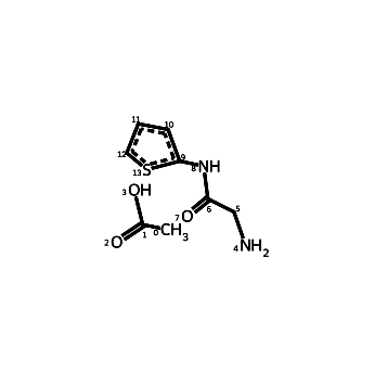 CC(=O)O.NCC(=O)Nc1cccs1